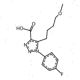 COCCCCc1c(C(=O)O)nnn1-c1ccc(F)cc1